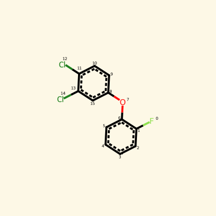 Fc1c[c]ccc1Oc1ccc(Cl)c(Cl)c1